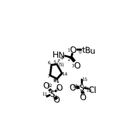 CC(C)(C)OC(=O)N[C@H]1CC[C@@H](OS(C)(=O)=O)C1.CS(=O)(=O)Cl